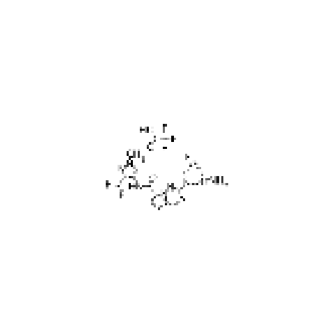 Cn1cc(NC(=O)c2ccc3cnc(N4C[C@H](N)C[C@H](F)C4)nn23)c(C(F)F)n1.O=C(O)C(F)(F)F